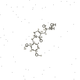 COc1ccc(CN2CC=C(CC(=O)NO)C2=O)c(OC)c1